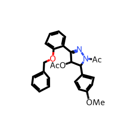 COc1ccc(C2C(OC(C)=O)C(c3ccccc3OCc3ccccc3)=NN2C(C)=O)cc1